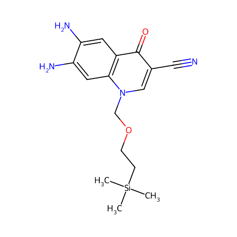 C[Si](C)(C)CCOCn1cc(C#N)c(=O)c2cc(N)c(N)cc21